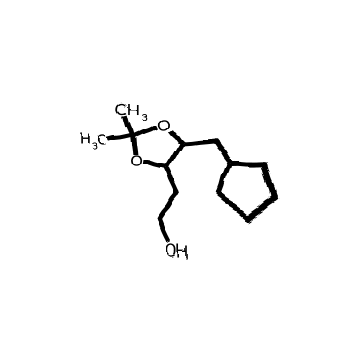 CC1(C)OC(CCO)C(CC2CCCC2)O1